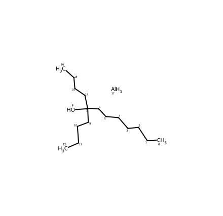 CCCCCCCC(O)(CCCC)CCCC.[AlH3]